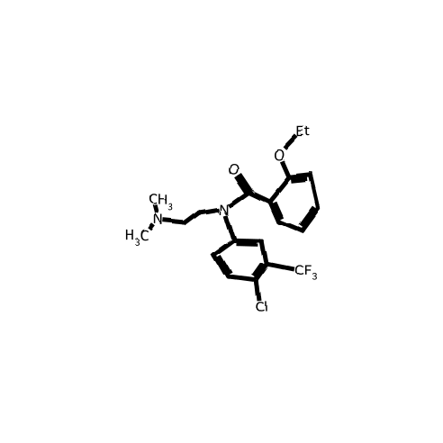 CCOc1ccccc1C(=O)N(CCN(C)C)c1ccc(Cl)c(C(F)(F)F)c1